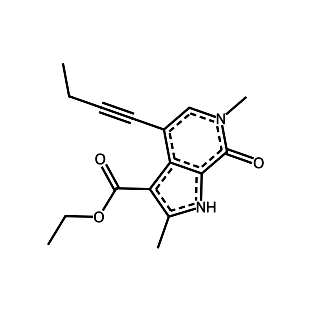 CCC#Cc1cn(C)c(=O)c2[nH]c(C)c(C(=O)OCC)c12